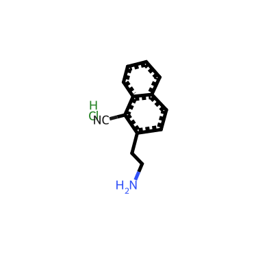 Cl.N#Cc1c(CCN)ccc2ccccc12